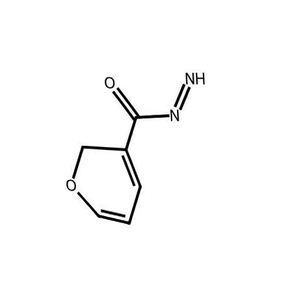 N=NC(=O)C1=CC=COC1